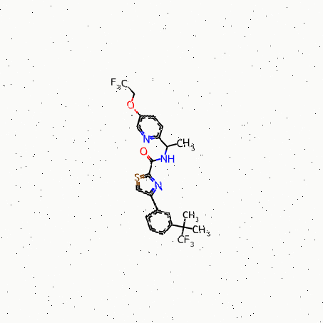 CC(NC(=O)c1nc(-c2cccc(C(C)(C)C(F)(F)F)c2)cs1)c1ccc(OCC(F)(F)F)cn1